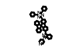 c1ccc(-c2nc(-c3ccccc3)nc(-c3ccc4c(c3)C3(c5ccccc5-c5ccccc53)c3cc(-c5nn(-c6ccncc6)c6ccccc56)ccc3-4)n2)cc1